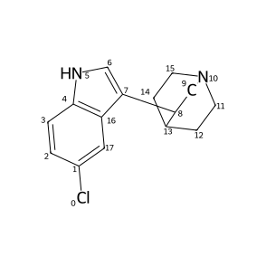 Clc1ccc2[nH]cc(C3CN4CCC3CC4)c2c1